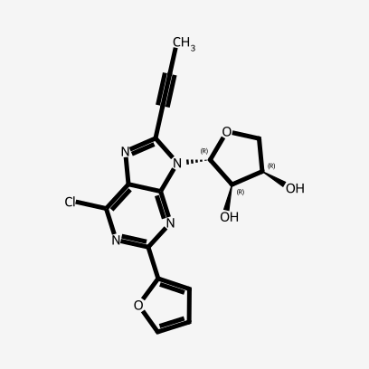 CC#Cc1nc2c(Cl)nc(-c3ccco3)nc2n1[C@@H]1OC[C@@H](O)[C@H]1O